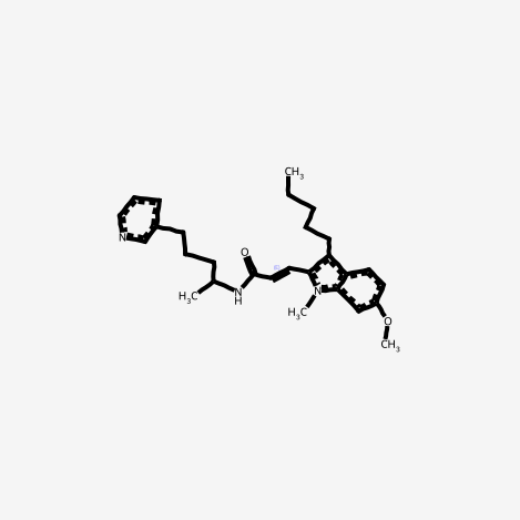 CCCCCc1c(/C=C/C(=O)NC(C)CCCc2cccnc2)n(C)c2cc(OC)ccc12